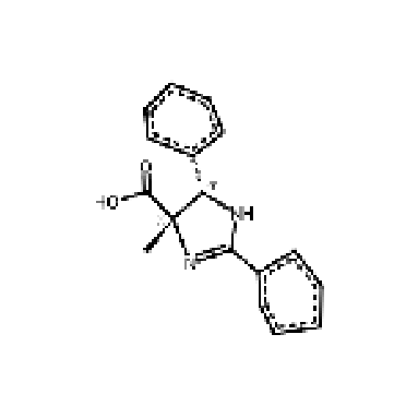 C[C@]1(C(=O)O)N=C(c2ccccc2)N[C@H]1c1ccccc1